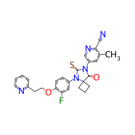 Cc1cc(N2C(=O)C3(CCC3)N(c3ccc(OCCc4ccccn4)c(F)c3)C2=S)cnc1C#N